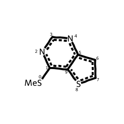 CSc1ncnc2ccsc12